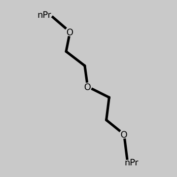 CCCOCCOCCOCCC